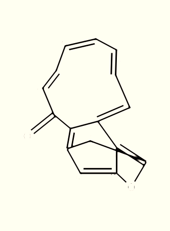 O=C1/C=C/C=C\C=C\C=c2/c1c1cc3c2=C(C1)O3